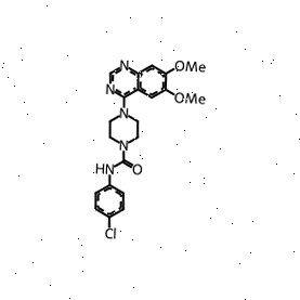 COc1cc2ncnc(N3CCN(C(=O)Nc4ccc(Cl)cc4)CC3)c2cc1OC